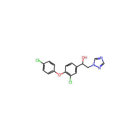 OC(Cn1cncn1)c1ccc(Oc2ccc(Cl)cc2)c(Cl)c1